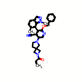 C=CC(=O)N1CC2(CCN(c3cnc(OCc4ccccc4)c(-c4c(C)ccc5cnn(C)c45)c3C#N)C2)C1